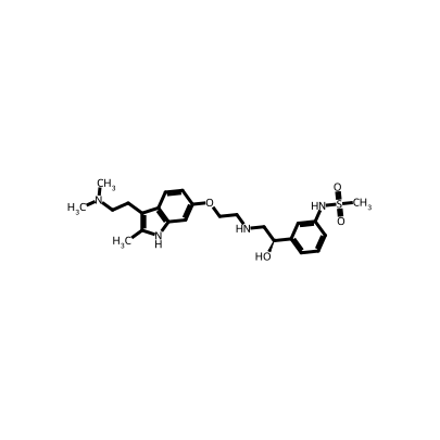 Cc1[nH]c2cc(OCCNC[C@H](O)c3cccc(NS(C)(=O)=O)c3)ccc2c1CCN(C)C